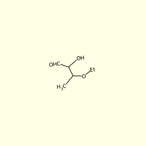 CCOC(C)C(O)C=O